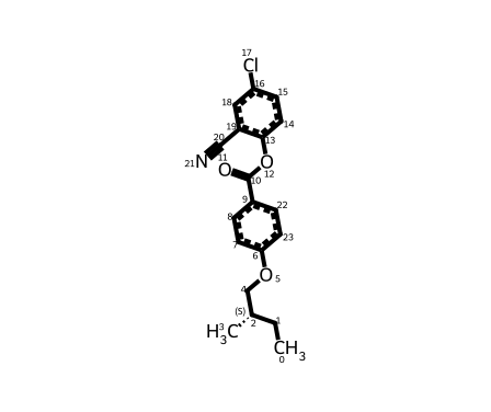 CC[C@H](C)COc1ccc(C(=O)Oc2ccc(Cl)cc2C#N)cc1